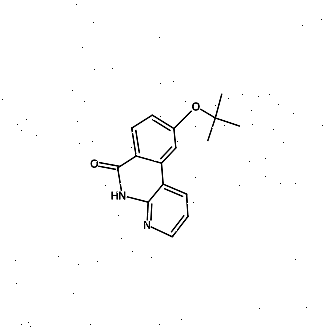 CC(C)(C)Oc1ccc2c(=O)[nH]c3ncccc3c2c1